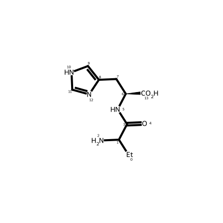 CCC(N)C(=O)N[C@@H](Cc1c[nH]cn1)C(=O)O